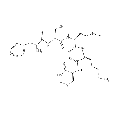 CSCC[C@H](NC(=O)[C@H](CS)NC(=O)[C@@H](N)Cc1ccccc1)C(=O)N[C@@H](CCCCN)C(=O)N[C@@H](CC(C)C)C(=O)O